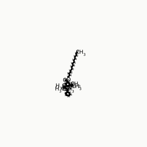 CCCCCCCCCCCCCCCCOC(=O)c1cc(C(C)(C)C)c(OC(=O)c2ccccc2)c(C(C)(C)C)c1